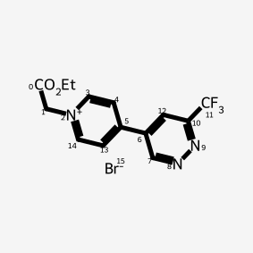 CCOC(=O)C[n+]1ccc(-c2cnnc(C(F)(F)F)c2)cc1.[Br-]